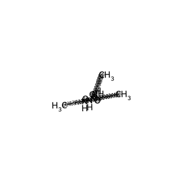 CCCCCCCCCCCCCCCCNC(=O)CCNCCN(CCC(=O)NCCCCCCCCCCCCCCCC)CCC(=O)NCCCCCCCCCCCCCCCC